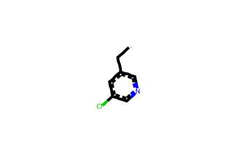 [CH2]Cc1cncc(Cl)c1